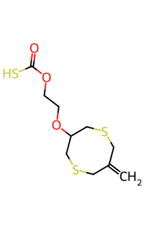 C=C1CSCC(OCCOC(=O)S)CSC1